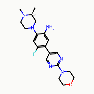 C[C@H]1CN(c2cc(F)c(-c3cnc(N4CCOCC4)nc3)cc2N)CCN1C